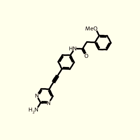 COc1ccccc1CC(=O)Nc1ccc(C#Cc2cnc(N)nc2)cc1